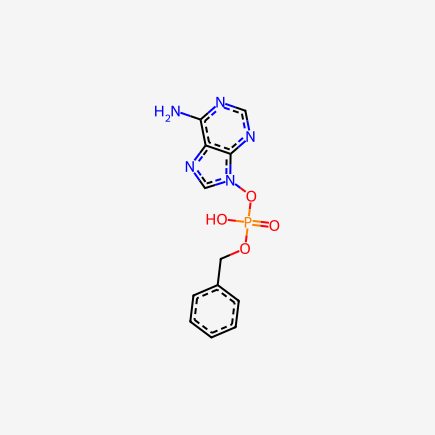 Nc1ncnc2c1ncn2OP(=O)(O)OCc1ccccc1